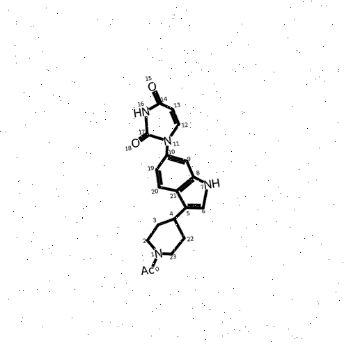 CC(=O)N1CCC(c2c[nH]c3cc(-n4ccc(=O)[nH]c4=O)ccc23)CC1